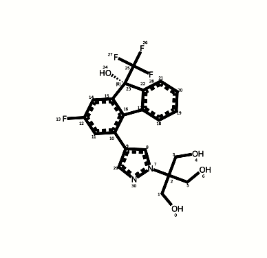 OCC(CO)(CO)n1cc(-c2cc(F)cc3c2-c2ccccc2[C@]3(O)C(F)(F)F)cn1